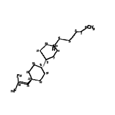 CCCCC[SiH]1CCC([C@H]2CC[C@H](C=C(F)F)CC2)CC1